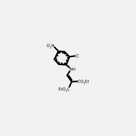 CCOC(=O)C(=CNc1ccc([N+](=O)[O-])cc1Cl)C(=O)OCC